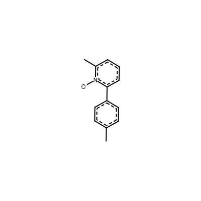 Cc1ccc(-c2cccc(C)[n+]2[O-])cc1